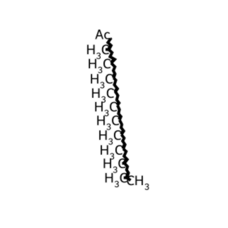 CC(=O)CC/C=C(\C)CC/C=C(\C)CC/C=C(\C)CC/C=C(\C)CC/C=C(\C)CC/C=C(\C)CC/C=C(\C)CC/C=C(\C)CC/C=C(\C)CCC=C(C)C